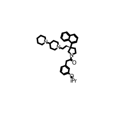 CC(C)Oc1cccc(CC(=O)N2CC[C@@](CCN3CCC(N4CCCCC4)CC3)(c3cccc4ccccc34)C2)c1